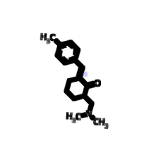 Cc1ccc(/C=C2\CCCC(CN(C)C)C2=O)cc1